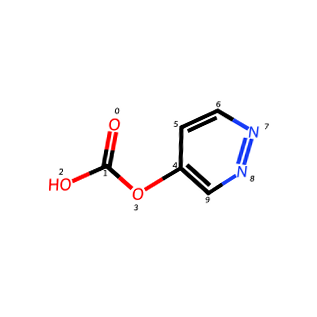 O=C(O)Oc1ccnnc1